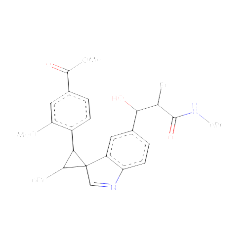 CCCNC(=O)C(CC)C(O)c1ccc2c(c1)C1(C=N2)C(CCC)C1c1ccc(C(=O)OC)cc1OC